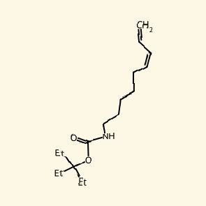 C=C/C=C\CCCCCNC(=O)OC(CC)(CC)CC